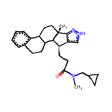 CN(CC1CC1)C(=O)CC[C@@H]1c2c[nH]nc2[C@@]2(C)CCC3c4ccccc4CCC3C12